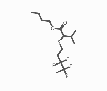 CCCCOC(=O)C(SCCC(F)(F)C(F)(F)F)C(C)C